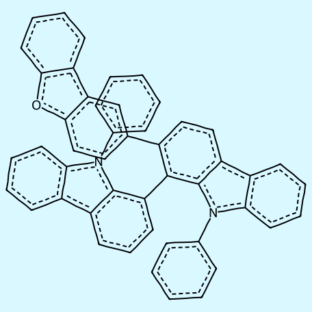 c1ccc(-n2c3ccccc3c3cccc(-c4c(-c5ccc6oc7ccccc7c6c5)ccc5c6ccccc6n(-c6ccccc6)c45)c32)cc1